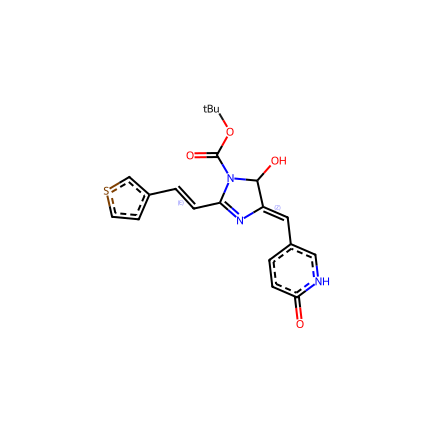 CC(C)(C)OC(=O)N1C(/C=C/c2ccsc2)=NC(=C\c2ccc(=O)[nH]c2)/C1O